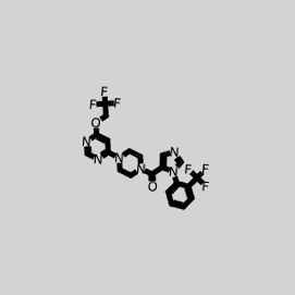 O=C(c1cncn1-c1ccccc1C(F)(F)F)N1CCN(c2cc(OCC(F)(F)F)ncn2)CC1